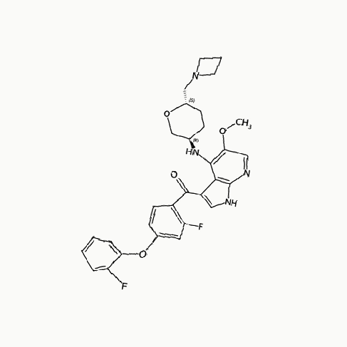 COc1cnc2[nH]cc(C(=O)c3ccc(Oc4ccccc4F)cc3F)c2c1N[C@@H]1CC[C@@H](CN2CCC2)OC1